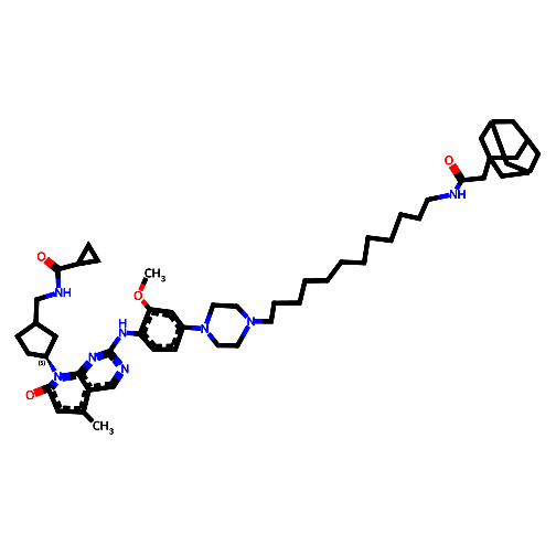 COc1cc(N2CCN(CCCCCCCCCCCCNC(=O)CC34CC5CC(CC(C5)C3)C4)CC2)ccc1Nc1ncc2c(C)cc(=O)n([C@H]3CCC(CNC(=O)C4CC4)C3)c2n1